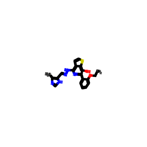 CCOc1ccccc1-c1nc(NN=Cc2[nH]cnc2C)c2ccsc2c1O